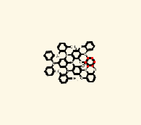 Cc1cccc(C)c1N1c2cc(N(c3ccccc3)c3ccccc3)cc3c2B(c2c1cc1c4c2Oc2ccccc2B4c2ccccc2O1)c1c(cc2c4c1Oc1cccc5c1B4c1c(cccc1O2)O5)N3c1c(C)cccc1C